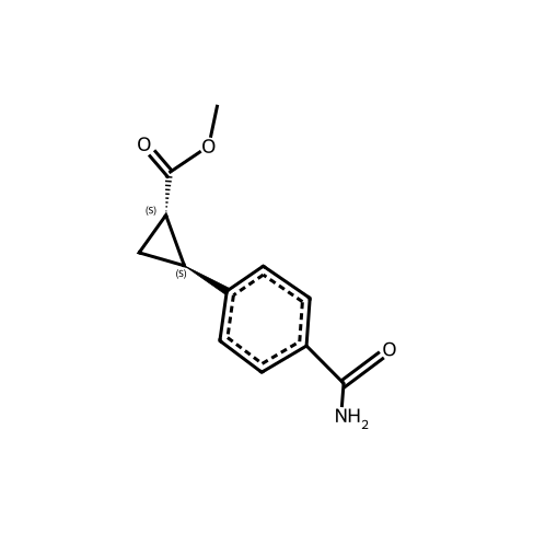 COC(=O)[C@H]1C[C@@H]1c1ccc(C(N)=O)cc1